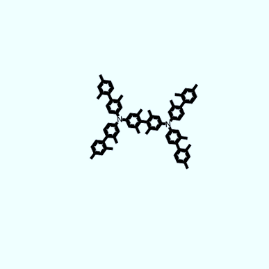 Cc1ccc(-c2ccc(N(c3ccc(-c4ccc(C)cc4C)c(C)c3)c3cc(C)c(-c4c(C)cc(N(c5ccc(-c6ccc(C)cc6C)c(C)c5)c5ccc(-c6ccc(C)cc6C)c(C)c5)cc4C)c(C)c3)cc2C)c(C)c1